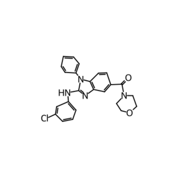 O=C(c1ccc2c(c1)nc(Nc1cccc(Cl)c1)n2-c1ccccc1)N1CCOCC1